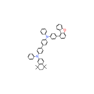 CC1(C)CCC(C)(C)c2cc(N(c3ccccc3)c3ccc(-c4ccc(N(c5ccccc5)c5ccc(-c6cccc7oc8ccccc8c67)cc5)cc4)cc3)ccc21